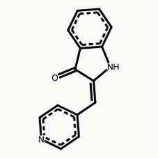 O=C1C(=Cc2ccncc2)Nc2ccccc21